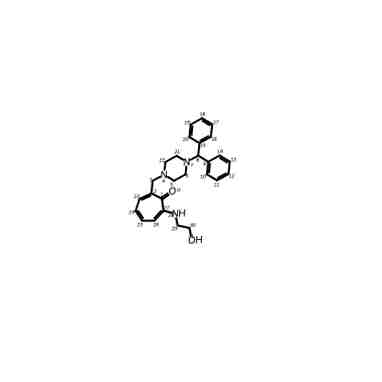 O=c1c(CN2CCN(C(c3ccccc3)c3ccccc3)CC2)ccccc1NCCO